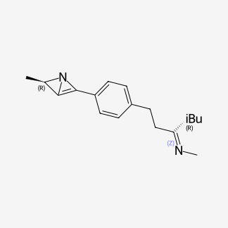 CC[C@@H](C)/C(CCc1ccc(C2=C3[C@@H](C)N23)cc1)=N\C